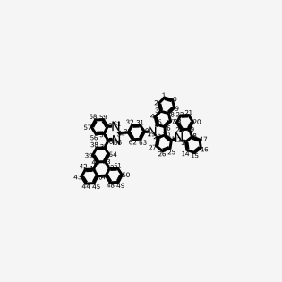 c1ccc2cc3c(cc2c1)c1c(-n2c4ccccc4c4ccccc42)cccc1n3-c1ccc(-c2nc(-c3ccc4c5ccccc5c5ccccc5c4c3)c3ccccc3n2)cc1